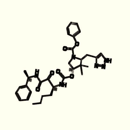 CCCC[C@H](NC(=O)O[C@@H]1CN(C(=O)Oc2ccccc2)C(Cc2c[nH]nn2)C1(C)C)C(=O)C(=O)N[C@H](C)c1ccccc1